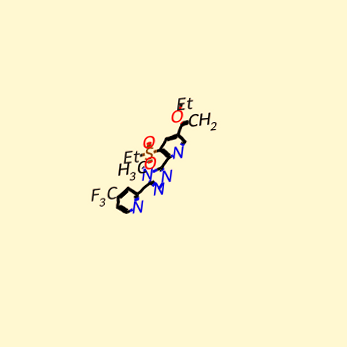 C=C(OCC)c1cnc(-c2nnc(-c3cc(C(F)(F)F)ccn3)n2C)c(S(=O)(=O)CC)c1